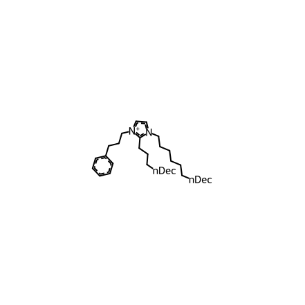 CCCCCCCCCCCCCCCCn1cc[n+](CCCc2ccccc2)c1CCCCCCCCCCCCC